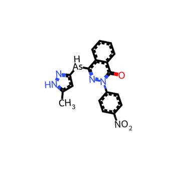 Cc1cc([AsH]c2nn(-c3ccc([N+](=O)[O-])cc3)c(=O)c3ccccc23)n[nH]1